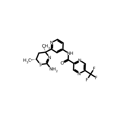 C[C@@H]1C[C@@](C)(c2cc(NC(=O)c3cnc(C(F)(F)F)cn3)ccn2)N=C(N)S1